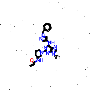 C=CC(=O)N[C@@H]1CCCN(c2nc(Nc3cnn(Cc4ccccc4)c3)c3ncn(C(C)C)c3n2)C1